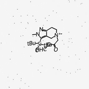 Cn1nc2c(c1[Si](F)(C(C)(C)C)C(C)(C)C)C[N+](C)(CC(=O)OC=O)CC2